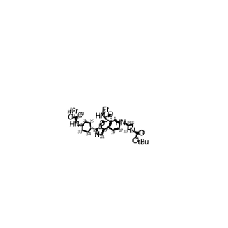 CCNS(=O)(=O)c1cc(NC2CN(C(=O)OC(C)(C)C)C2)ccc1-c1cnc([C@H]2CC[C@H](NC(=O)OC(C)C)CC2)s1